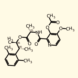 COc1ccnc(C(=O)N[C@@H](C)C(=O)O[C@H](C)[C@H](C)c2c(C)cccc2C)c1OC(C)=O